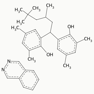 Cc1cc(C)c(O)c(C(CC(C)CC(C)(C)C)c2cc(C)cc(C)c2O)c1.c1ccc2cnncc2c1